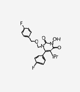 CC(C)c1c(-c2ccc(F)cc2)n(COCc2ccc(F)cc2)c(=O)n(O)c1=O